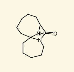 O=C1C2CCCCCC3(CCCCCN13)N2